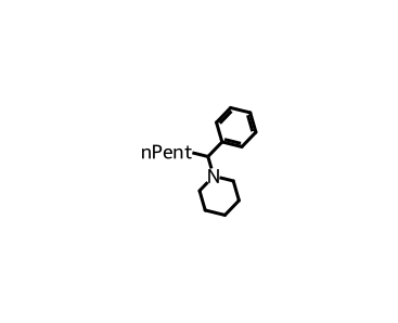 CCCCCC(c1ccccc1)N1CCCCC1